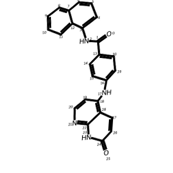 O=C(Nc1cccc2ccccc12)c1ccc(Nc2ccnc3[nH]c(=O)ccc23)cc1